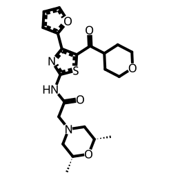 C[C@@H]1CN(CC(=O)Nc2nc(-c3ccco3)c(C(=O)C3CCOCC3)s2)C[C@H](C)O1